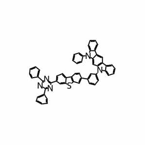 c1ccc(-c2nc(-c3ccccc3)nc(-c3ccc4c(c3)sc3cc(-c5cccc(-n6c7ccccc7c7cc8c9ccccc9n(-c9ccccc9)c8cc76)c5)ccc34)n2)cc1